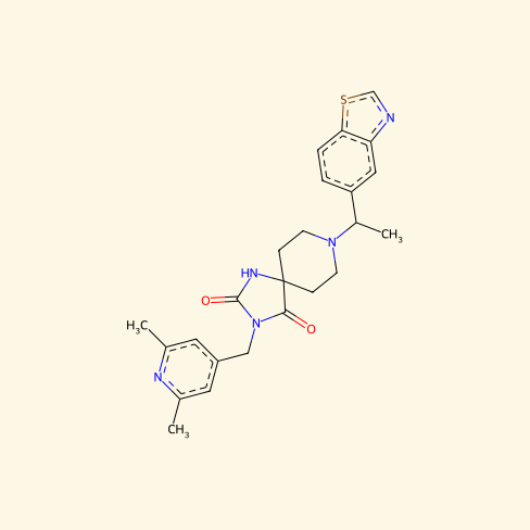 Cc1cc(CN2C(=O)NC3(CCN(C(C)c4ccc5scnc5c4)CC3)C2=O)cc(C)n1